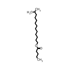 CCCCC(=O)OCCCCCCCCCCCC(C)C